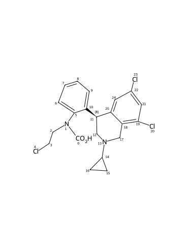 O=C(O)N(CCCl)c1ccccc1[C@@H]1CN(C2CC2)Cc2c(Cl)cc(Cl)cc21